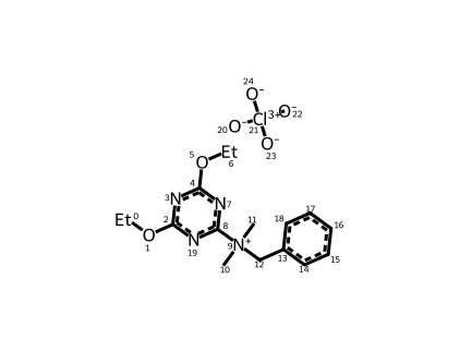 CCOc1nc(OCC)nc([N+](C)(C)Cc2ccccc2)n1.[O-][Cl+3]([O-])([O-])[O-]